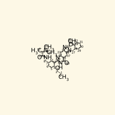 CCCOc1ccc(CNC(=O)[C@@H](C)N(C)C)cc1-c1nc2cc3ncn(Cc4ccccc4OC)c3cc2c(=O)[nH]1